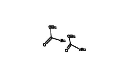 CCC(C)C(=O)OCC(C)C.CCCCC(=O)OCC(C)C